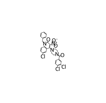 O=C(c1ccc(Cl)c(Cl)c1)N1CCN(c2c([N+](=O)[O-])c(=O)n(Cc3ccccc3)c3ccc(Cl)cc23)CC1